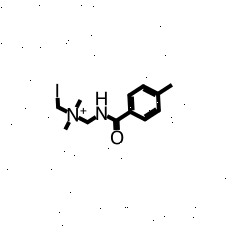 Cc1ccc(C(=O)NC[N+](C)(C)CI)cc1